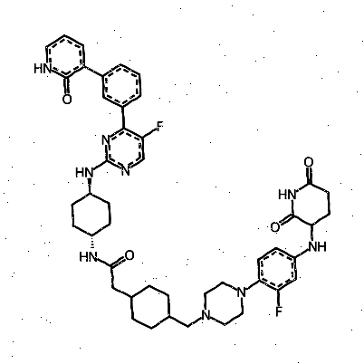 O=C1CCC(Nc2ccc(N3CCN(CC4CCC(CC(=O)N[C@H]5CC[C@H](Nc6ncc(F)c(-c7cccc(-c8ccc[nH]c8=O)c7)n6)CC5)CC4)CC3)c(F)c2)C(=O)N1